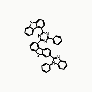 c1ccc(-c2nc(-c3cccc4sc5ccccc5c34)nc(-c3cccc4sc5cc(-c6nc7ccccc7n6-c6ccccc6)ccc5c34)n2)cc1